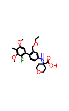 CCOCc1cc(NC2(C(=O)O)CCOCC2)ccc1-c1cc(OC)c(C)c(OC)c1F